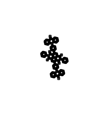 O=C1c2cc(-c3ccc(-n4c5ccccc5c(=O)c5ccccc54)cc3)c3c4c(cc(-c5ccc(-n6c7ccccc7c(=O)c7ccccc76)cc5)c(c24)C(=O)N1c1ccccc1)C(=O)N(c1ccccc1)C3=O